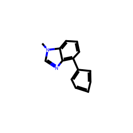 Cn1cnc2c(-c3ccccc3)cccc21